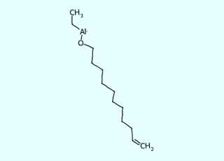 C=CCCCCCCCCC[O][Al][CH2]C